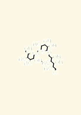 O=C[C@H](O)[C@@H](O)[C@H](O)[C@H](O)CO[C@H]1O[C@H](CO[C@H]2O[C@H](CO)[C@H](O)[C@H](O)[C@H]2O)[C@H](O)[C@H](O)[C@H]1O